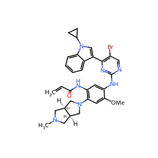 C=CC(=O)Nc1cc(Nc2ncc(Br)c(-c3cn(C4CC4)c4ccccc34)n2)c(OC)cc1N1C[C@H]2CN(C)C[C@H]2C1